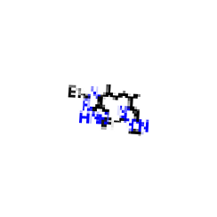 CCc1nc(C(C)CCC(C)c2cc3nccn3c(C(C)C)n2)c2cn[nH]c2n1